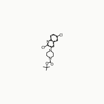 CC(C)(C)OC(=O)N1CCN(c2cc3cc(Cl)ccc3nc2Cl)CC1